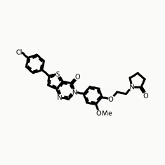 COc1cc(-n2cnc3cc(-c4ccc(Cl)cc4)sc3c2=O)ccc1OCCN1CCCC1=O